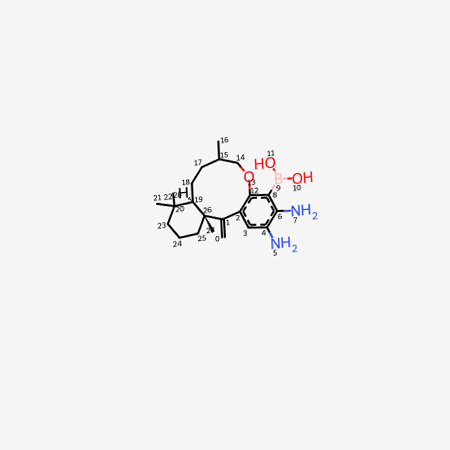 C=C1c2cc(N)c(N)c(B(O)O)c2OCC(C)CC[C@@H]2C(C)(C)CCC[C@@]12C